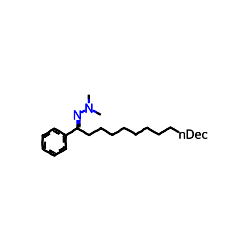 CCCCCCCCCCCCCCCCCCC(=NN(C)C)c1ccccc1